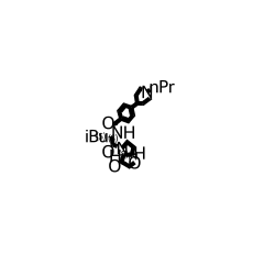 CCCN1CCC(c2ccc(C(=O)N[C@H](C(=O)N3CC[C@H]4OCC(=O)[C@H]43)[C@@H](C)CC)cc2)CC1